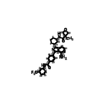 CC1(C(=O)N[C@H]2CCC[C@@H](c3nc(-c4ccc(C(=O)Nc5cc(C(F)(F)F)ccn5)cc4)c4c(N)nccn34)C2)COC1